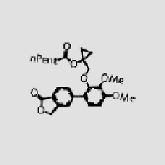 CCCCCC(=O)OC1(COc2c(-c3ccc4c(c3)COC4=O)ccc(OC)c2OC)CC1